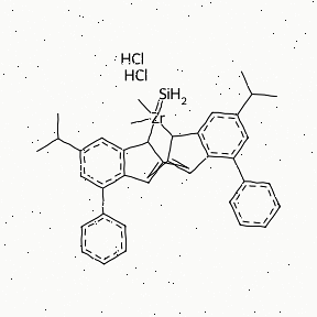 CC1=Cc2c(-c3ccccc3)cc(C(C)C)cc2[CH]1[Zr]([CH3])([CH3])(=[SiH2])[CH]1C(C)=Cc2c(-c3ccccc3)cc(C(C)C)cc21.Cl.Cl